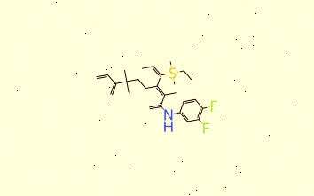 C=CC(=C)C(C)(C)CCC(/C(=C\C)S(C)(C)CC)=C(/C)C(=C)Nc1ccc(F)c(F)c1